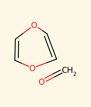 C1=COC=CO1.C=O